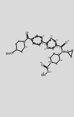 COC1CCN(C(=O)c2ccc(-c3ncc(C(=O)N(C4CC4)C4CCN(C(=O)OC(C)(C)C)CC4)cn3)cc2)CC1